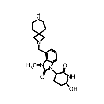 Cn1c(=O)n(C2CCC(O)NC2=O)c2cccc(CN3CC4(CCNCC4)C3)c21